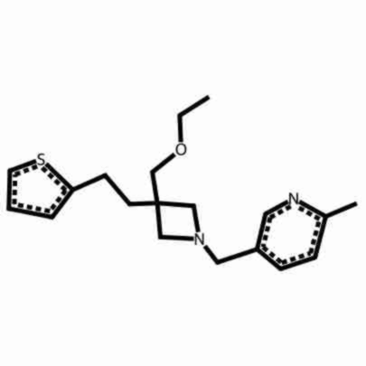 CCOCC1(CCc2cccs2)CN(Cc2ccc(C)nc2)C1